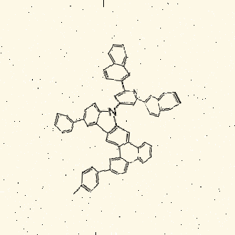 Cc1ccc(-c2ccc3c4ccccc4c4cc5c(cc4c3c2)c2cc(-c3ccccc3)ccc2n5-c2cc(-c3ccc4ccccc4c3)nc(-c3ccc4ccccc4c3)c2)cc1